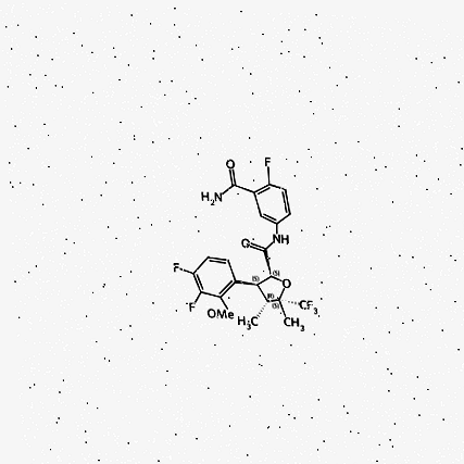 COc1c([C@H]2[C@@H](C(=O)Nc3ccc(F)c(C(N)=O)c3)O[C@](C)(C(F)(F)F)[C@@H]2C)ccc(F)c1F